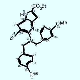 CCOC(=O)c1cc2nc(N(Cc3ccc(OC)cc3)Cc3ccc(OC)cc3)c(Br)cc2[nH]1